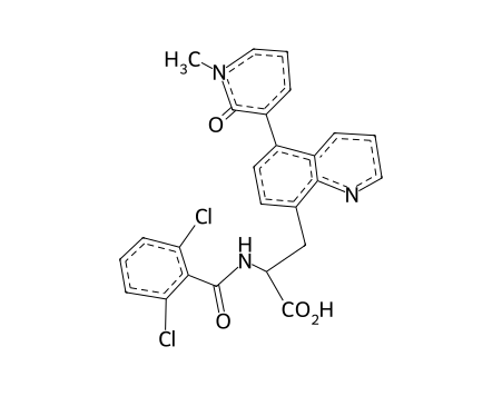 Cn1cccc(-c2ccc(CC(NC(=O)c3c(Cl)cccc3Cl)C(=O)O)c3ncccc23)c1=O